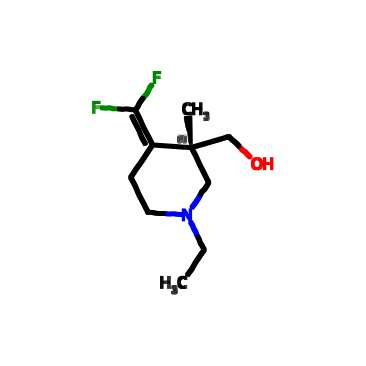 CCN1CCC(=C(F)F)[C@](C)(CO)C1